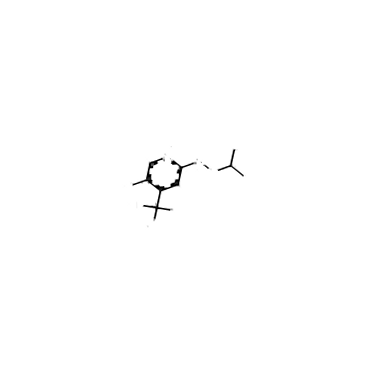 CC(C)SNc1cc(C(F)(F)F)c(Br)cn1